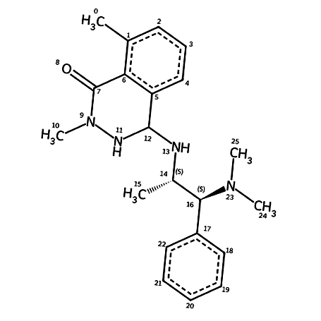 Cc1cccc2c1C(=O)N(C)NC2N[C@@H](C)[C@H](c1ccccc1)N(C)C